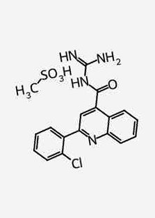 CS(=O)(=O)O.N=C(N)NC(=O)c1cc(-c2ccccc2Cl)nc2ccccc12